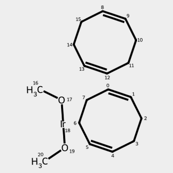 C1=CCCC=CCC1.C1=CCCC=CCC1.C[O][Ir][O]C